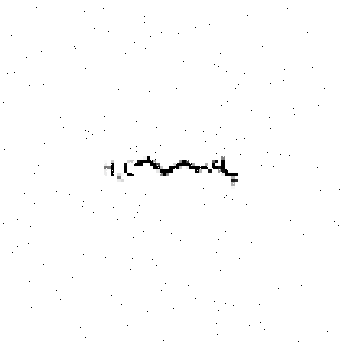 CCCC[CH2][Al][F]